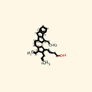 C=CCC1C(/C=C/CCO)CC(/C=C\C2CC(CC=O)C3C2CC2C4C=CC(C4)C23)C1C=C